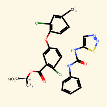 C[C@H](OC(=O)c1cc(Oc2ccc(C(F)(F)F)cc2Cl)ccc1Cl)C(=O)O.O=C(Nc1ccccc1)Nc1cnns1